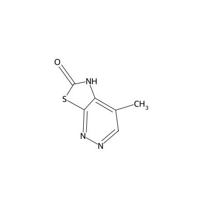 Cc1cnnc2sc(=O)[nH]c12